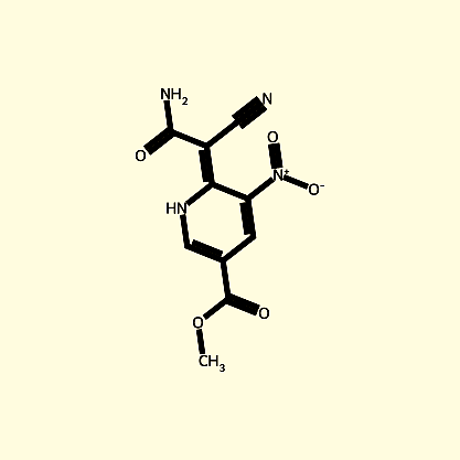 COC(=O)C1=CN/C(=C(/C#N)C(N)=O)C([N+](=O)[O-])=C1